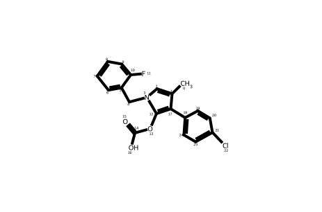 Cc1cn(Cc2ccccc2F)c(OC(=O)O)c1-c1ccc(Cl)cc1